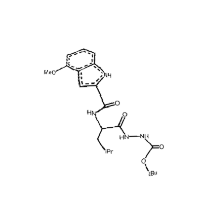 COc1cccc2[nH]c(C(=O)NC(CC(C)C)C(=O)NNC(=O)OC(C)(C)C)cc12